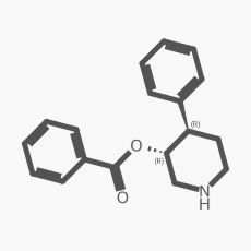 O=C(O[C@H]1CNCC[C@@H]1c1ccccc1)c1ccccc1